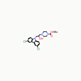 CC(C)(C)OC(=O)N1CCN(CC(O)Cn2c3ccc(Cl)cc3c3cc(Cl)ccc32)CC1